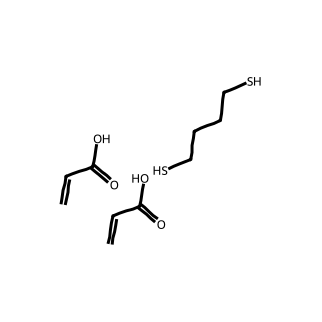 C=CC(=O)O.C=CC(=O)O.SCCCCS